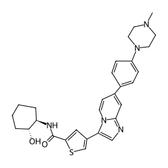 CN1CCN(c2ccc(-c3ccn4c(-c5csc(C(=O)N[C@@H]6CCCC[C@H]6O)c5)cnc4c3)cc2)CC1